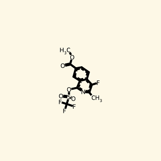 COC(=O)c1ccc2c(F)c(C)nc(OS(=O)(=O)C(F)(F)F)c2c1